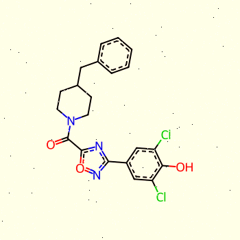 O=C(c1nc(-c2cc(Cl)c(O)c(Cl)c2)no1)N1CCC(Cc2ccccc2)CC1